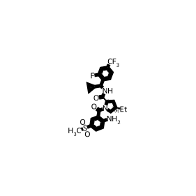 CC[C@@H]1C[C@H](C(=O)NC(c2ccc(C(F)(F)F)cc2F)C2CC2)N(C(=O)c2cc(S(C)(=O)=O)ccc2N)C1